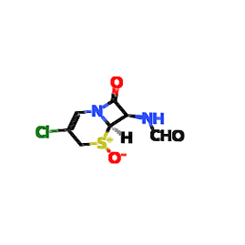 O=CN[C@@H]1C(=O)N2C=C(Cl)C[S+]([O-])[C@H]12